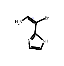 N/C=C(/Br)c1ncc[nH]1